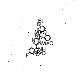 CCOc1cccc(-c2nc3ncc(C(N[SH](=O)=O)c4ccc(F)cn4)nc3n2-c2c(OC)cccc2OC)n1